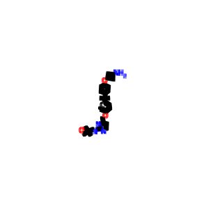 CC1(CNc2nccc(COc3ccc(C(C)(C)c4ccc(O[C@H]5C[C@@H](N)C5)cc4)cc3)n2)COC1